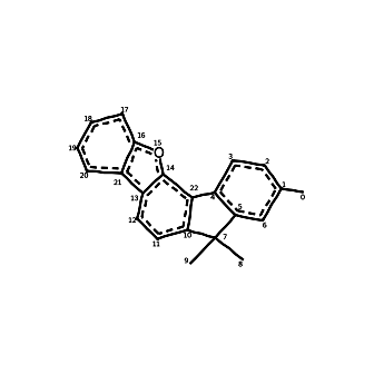 Cc1ccc2c(c1)C(C)(C)c1ccc3c(oc4ccccc43)c1-2